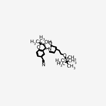 CC1(C)Oc2ccc(C#N)cc2[C@H](n2ccc(CCO[Si](C)(C)C(C)(C)C)cc2=O)[C@H]1O